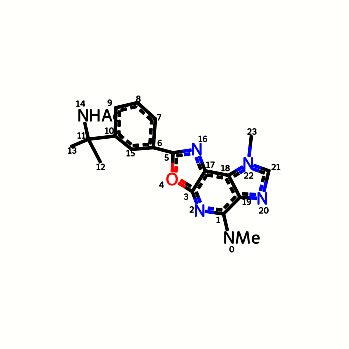 CNc1nc2oc(-c3cccc(C(C)(C)NC(C)=O)c3)nc2c2c1ncn2C